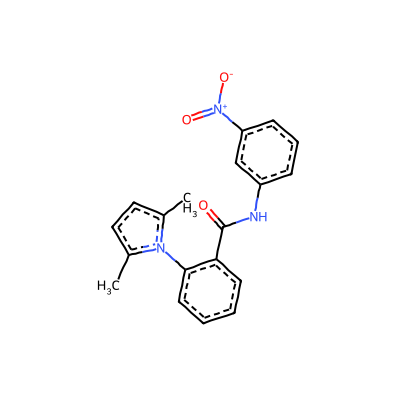 Cc1ccc(C)n1-c1ccccc1C(=O)Nc1cccc([N+](=O)[O-])c1